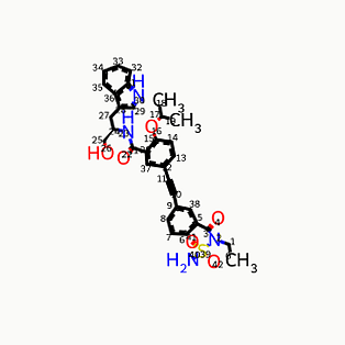 CCN(C(=O)c1cccc(C#Cc2ccc(OC(C)C)c(C(=O)N[C@@H](CO)Cc3c[nH]c4ccccc34)c2)c1)S(N)(=O)=O